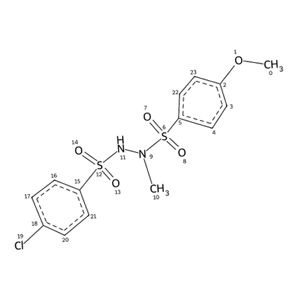 COc1ccc(S(=O)(=O)N(C)NS(=O)(=O)c2ccc(Cl)cc2)cc1